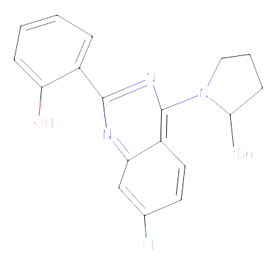 CC(C)(C)C1CCCN1c1nc(-c2ccccc2O)nc2cc(Cl)ccc12